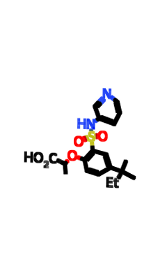 CCC(C)(C)c1ccc(OC(C)C(=O)O)c(S(=O)(=O)Nc2cccnc2)c1